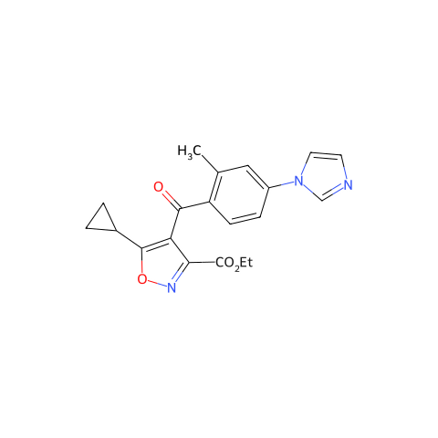 CCOC(=O)c1noc(C2CC2)c1C(=O)c1ccc(-n2ccnc2)cc1C